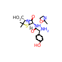 CC1(C)S[C@@H]2[C@H](NC(=O)[C@H](N)c3ccc(O)cc3)C(=O)N2[C@H]1C(=O)O.CC1=NCCO1